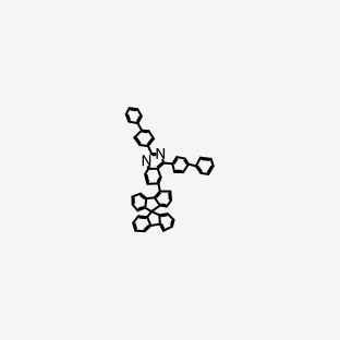 c1ccc(-c2ccc(-c3nc(-c4ccc(-c5ccccc5)cc4)c4cc(-c5cccc6c5-c5ccccc5C65c6ccccc6-c6ccccc65)ccc4n3)cc2)cc1